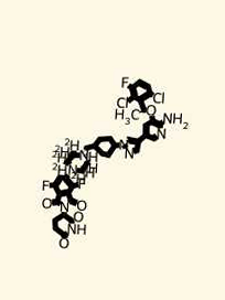 [2H]C1([2H])N(CC2CCC(n3cc(-c4cnc(N)c(O[C@H](C)c5c(Cl)ccc(F)c5Cl)c4)cn3)CC2)C([2H])([2H])C([2H])([2H])N(c2cc(F)c3c(c2F)C(=O)N(C2CCC(=O)NC2=O)C3=O)C1([2H])[2H]